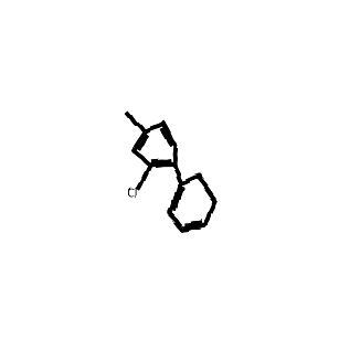 Cc1ccc(C2=CC=CCC2)c(Cl)c1